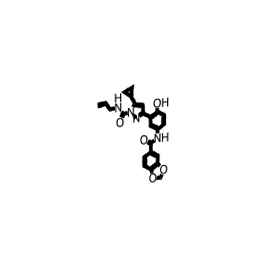 C=CCNC(=O)n1nc(-c2cc(NC(=O)c3ccc4c(c3)OCO4)ccc2O)cc1C1CC1